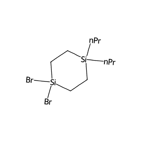 CCC[Si]1(CCC)CC[Si](Br)(Br)CC1